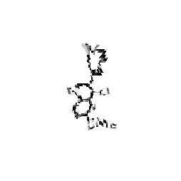 COc1ccc2ncc(-c3cccnc3)c(Cl)c2n1